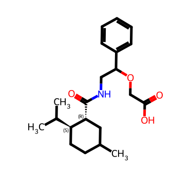 CC1CC[C@@H](C(C)C)[C@H](C(=O)NCC(OCC(=O)O)c2ccccc2)C1